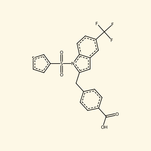 O=C(O)c1ccc(Cc2cc3cc(C(F)(F)F)ccc3n2S(=O)(=O)c2ccsc2)cc1